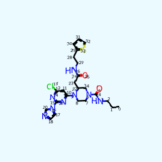 CCCNC(=O)N1CCN(c2cc(Cl)nc(-n3ccnc3)n2)C(CC(=O)NCCc2cccs2)C1